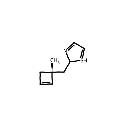 C[C@@]1(CC2N=CC=[SH]2)C=CC1